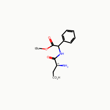 CC(C)(C)OC(=O)C(NC(=O)[C@@H](N)CC(=O)O)c1ccccc1